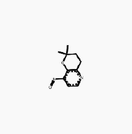 CC1(C)CCc2nccc(N=O)c2O1